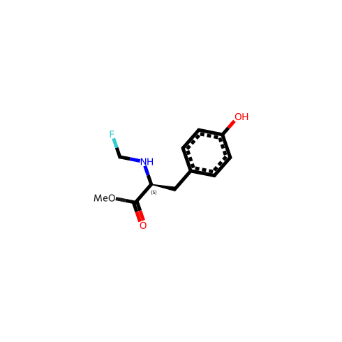 COC(=O)[C@H](Cc1ccc(O)cc1)NCF